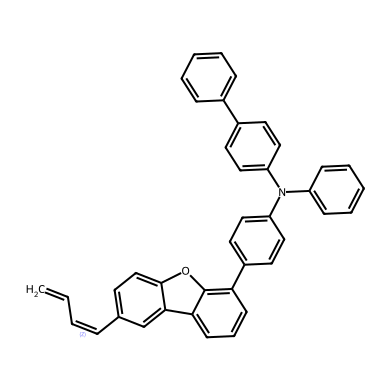 C=C/C=C\c1ccc2oc3c(-c4ccc(N(c5ccccc5)c5ccc(-c6ccccc6)cc5)cc4)cccc3c2c1